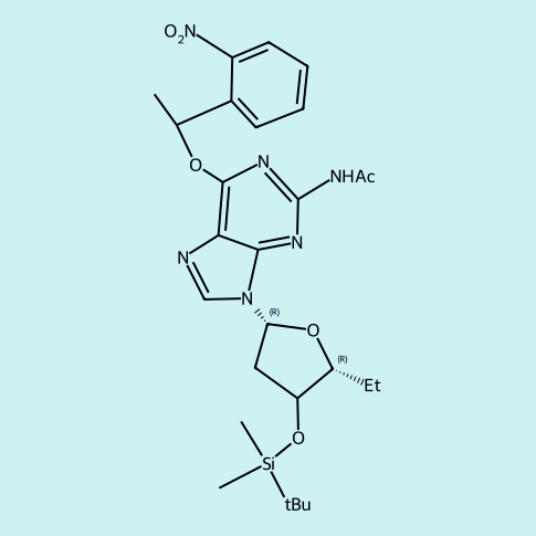 CC[C@H]1O[C@@H](n2cnc3c(OC(C)c4ccccc4[N+](=O)[O-])nc(NC(C)=O)nc32)CC1O[Si](C)(C)C(C)(C)C